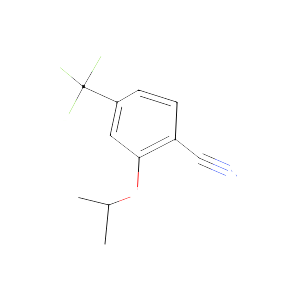 CC(C)Oc1cc(C(F)(F)F)ccc1C#N